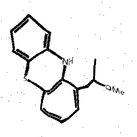 COC(C)c1cccc2c1Nc1ccccc1S2